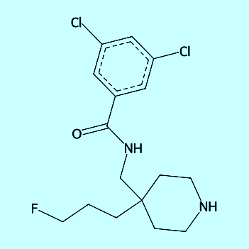 O=C(NCC1(CCCF)CCNCC1)c1cc(Cl)cc(Cl)c1